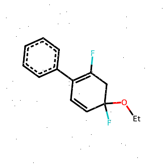 CCOC1(F)C=CC(c2ccccc2)=C(F)C1